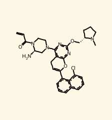 C=CC(=O)N1CCN(c2nc(OC[C@@H]3CCCN3C)nc3c2CC=C(c2cccc4cccc(Cl)c24)O3)C[C@H]1N